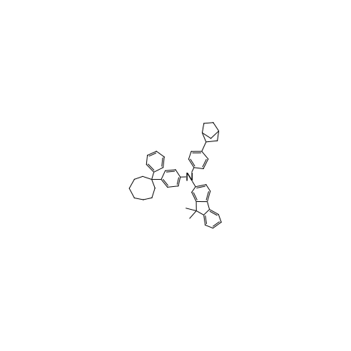 CC1(C)c2ccccc2-c2ccc(N(c3ccc(C4CC5CCC4C5)cc3)c3ccc(C4(c5ccccc5)CCCCCCC4)cc3)cc21